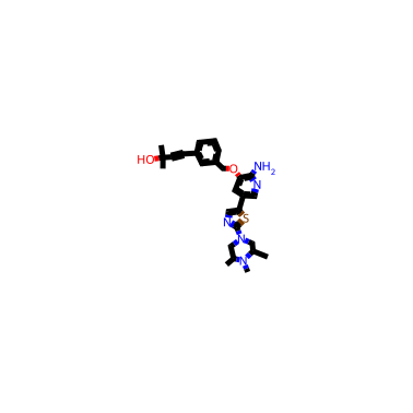 CC1CN(c2ncc(-c3cnc(N)c(OCc4cccc(C#CC(C)(C)O)c4)c3)s2)CC(C)N1C